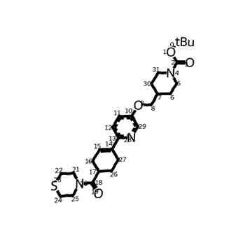 CC(C)(C)OC(=O)N1CCC(COc2ccc(C3=CCC(C(=O)N4CCSCC4)CC3)nc2)CC1